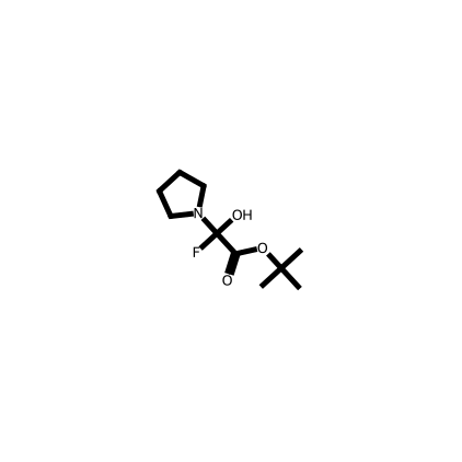 CC(C)(C)OC(=O)C(O)(F)N1CCCC1